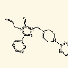 C=CCn1c(-c2cccnc2)nn(CN2CCN(c3ncccn3)CC2)c1=S